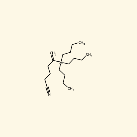 C=[C](CCCC#N)[Sn]([CH2]CCC)([CH2]CCC)[CH2]CCC